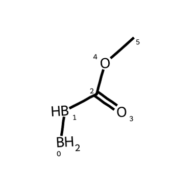 BBC(=O)OC